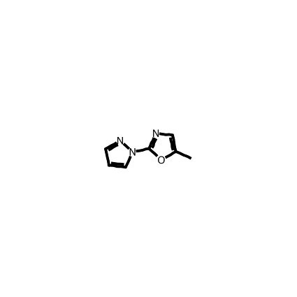 Cc1cnc(-n2cccn2)o1